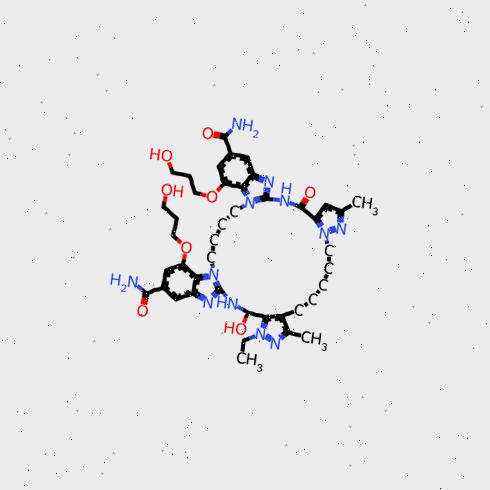 CCn1nc(C)c2c1C(O)Nc1nc3cc(C(N)=O)cc(OCCCO)c3n1CCCCn1c(nc3cc(C(N)=O)cc(OCCCO)c31)NC(=O)c1cc(C)nn1CCCCC2